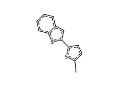 Ic1ccc(-c2cc3ccccc3s2)s1